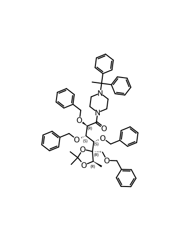 C[C@H]1OC(C)(C)O[C@@]1(COCc1ccccc1)[C@@H](OCc1ccccc1)[C@H](OCc1ccccc1)[C@@H](OCc1ccccc1)C(=O)N1CCN(C(C)(c2ccccc2)c2ccccc2)CC1